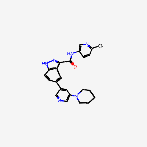 N#Cc1ccc(NC(=O)c2n[nH]c3ccc(-c4cncc(N5CCCCC5)c4)cc23)cn1